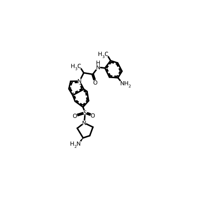 Cc1ccc(N)cc1NC(=O)C(C)n1ccc2cc(S(=O)(=O)N3CC[C@@H](N)C3)ccc21